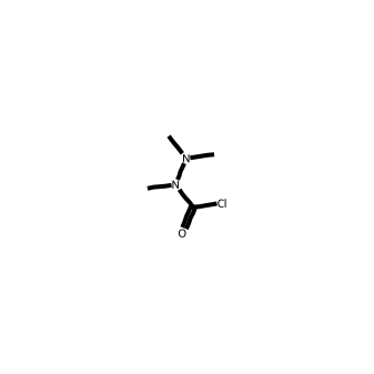 CN(C)N(C)C(=O)Cl